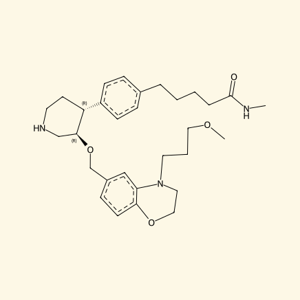 CNC(=O)CCCCc1ccc([C@H]2CCNC[C@@H]2OCc2ccc3c(c2)N(CCCOC)CCO3)cc1